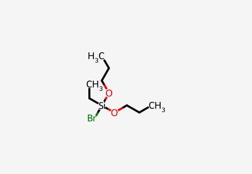 CCCO[Si](Br)(CC)OCCC